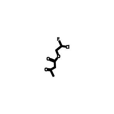 CC(=O)CC(=O)OCC(F)Cl